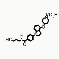 O=C(NCCCO)c1ccc(N2CCc3c(OC4CCN(C(=O)O)CC4)cccc32)cc1